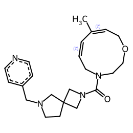 CC1=C/COCCN(C(=O)N2CC3(CCN(Cc4ccncc4)C3)C2)C/C=C\1